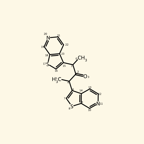 CC(C(=O)C(C)c1csc2cnccc12)c1csc2cnccc12